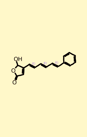 O=C1C=C(/C=C/C=C/C=C/c2ccccc2)C(O)O1